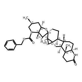 C[C@H]1C[C@H]2O[C@]3(CC[C@H]4[C@@H]5CC[C@H]6NC(=O)CC[C@]6(C)[C@H]5C[C@@]45C[C@]53C)[C@H](C)[C@@H]2N(C(=O)OCc2ccccc2)C1